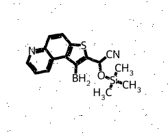 Bc1c(C(C#N)O[Si](C)(C)C)sc2ccc3ncccc3c12